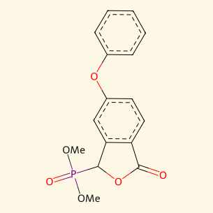 COP(=O)(OC)C1OC(=O)c2ccc(Oc3ccccc3)cc21